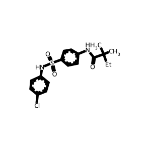 CCC(C)(C)C(=O)Nc1ccc(S(=O)(=O)Nc2ccc(Cl)cc2)cc1